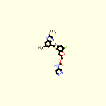 COc1cnc2c(-c3nc4cc(F)c5c(c4s3)CC(COC(=O)Nc3ccnnc3)O5)cc(C)cc2n1